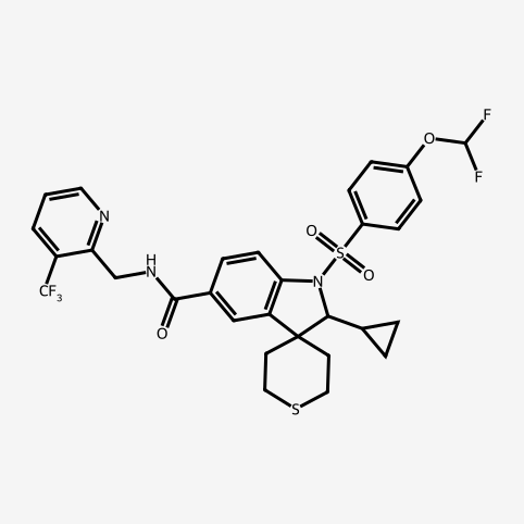 O=C(NCc1ncccc1C(F)(F)F)c1ccc2c(c1)C1(CCSCC1)C(C1CC1)N2S(=O)(=O)c1ccc(OC(F)F)cc1